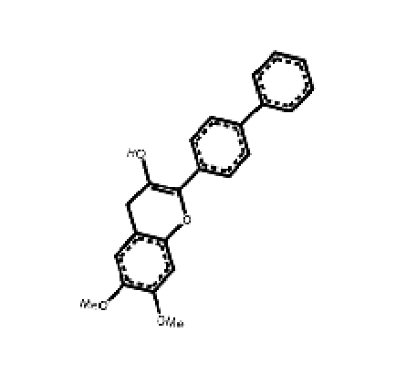 COc1cc2c(cc1OC)OC(c1ccc(-c3ccccc3)cc1)=C(O)C2